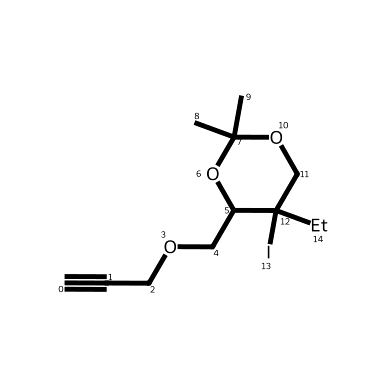 C#CCOCC1OC(C)(C)OCC1(I)CC